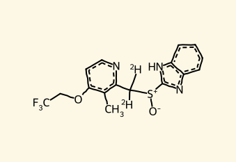 [2H]C([2H])(c1nccc(OCC(F)(F)F)c1C)[S+]([O-])c1nc2ccccc2[nH]1